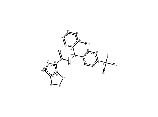 O=C(N[C@@H](c1ccc(C(F)(F)F)cc1)c1ncccc1F)c1n[nH]c2c1CCC2